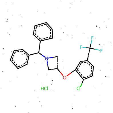 Cl.FC(F)(F)c1ccc(Cl)c(OC2CN(C(c3ccccc3)c3ccccc3)C2)c1